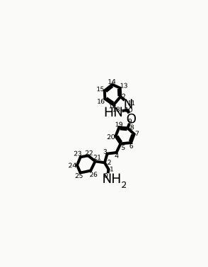 NCC(CCc1ccc(Oc2nc3ccccc3[nH]2)cc1)C1CCCCC1